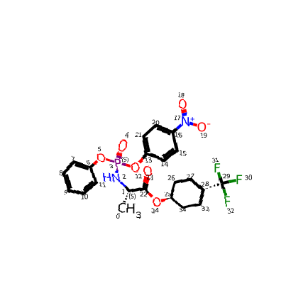 C[C@H](N[P@](=O)(Oc1ccccc1)Oc1ccc([N+](=O)[O-])cc1)C(=O)O[C@H]1CC[C@H](C(F)(F)F)CC1